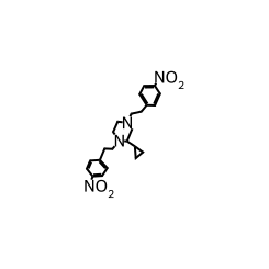 O=[N+]([O-])c1ccc(CCN2CCN(CCc3ccc([N+](=O)[O-])cc3)C(C3CC3)C2)cc1